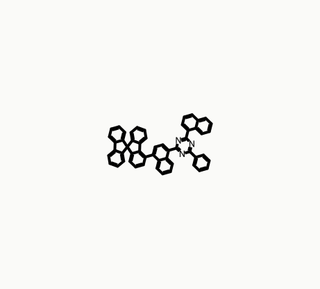 c1ccc(-c2nc(-c3cccc4ccccc34)nc(-c3ccc(-c4cccc5c4-c4ccccc4C54c5ccccc5-c5ccccc54)c4ccccc34)n2)cc1